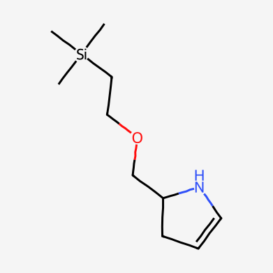 C[Si](C)(C)CCOCC1CC=CN1